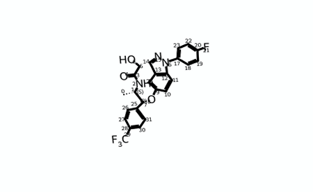 C[C@H](NC(=O)CO)[C@H](Oc1ccc2c(cnn2-c2ccc(F)cc2)c1)c1ccc(C(F)(F)F)cc1